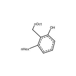 CCCCCCCCCc1c(O)cccc1CCCCCC